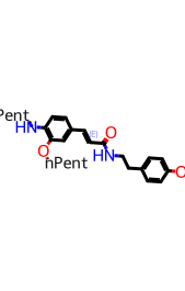 CCCCCNc1ccc(/C=C/C(=O)NCCc2ccc(O)cc2)cc1OCCCCC